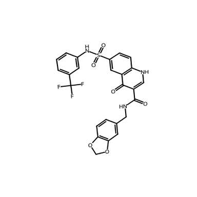 O=C(NCc1ccc2c(c1)OCO2)c1c[nH]c2ccc(S(=O)(=O)Nc3cccc(C(F)(F)F)c3)cc2c1=O